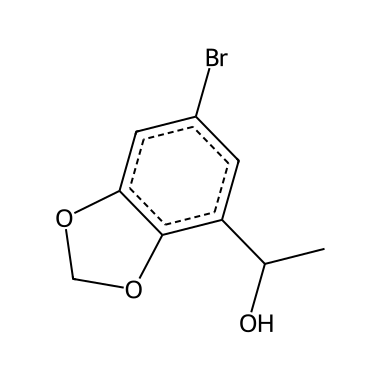 CC(O)c1cc(Br)cc2c1OCO2